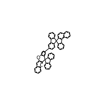 c1ccc2c(c1)-c1ccccc1C21c2cc(-c3ccc4c(c3)-c3ccccc3C43c4ccccc4-c4c3ccc3ccccc43)ccc2Oc2cc3ccccc3cc21